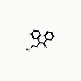 CCCC(C(=O)c1ccccc1)c1ccccc1